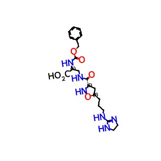 O=C(N[C@@H](CNC(=O)[C@@H]1C[C@@H](CCCNC2=NCCN2)ON1)C(=O)O)OCc1ccccc1